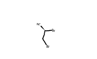 N#C[C@@H](Br)CBr